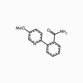 COc1ccc(-c2ccccc2C(N)=O)nc1